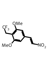 COc1cc(C=C[N+](=O)[O-])cc(OC)c1CC(F)(F)F